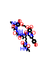 C=CNC(=O)c1cc(OC)c(OCCCOc2cc3c(cc2OC)C(=O)N2C=C(c4ccc(OC)cc4)CC2C=N3)cc1N1C(NC(=O)[C@H](C)NC(=O)[C@@H](NC(=O)CCCCCN2C(=O)CC(NC(C)(CC)CC)C2=O)C(C)C)C1(C)CC